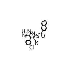 N#Cc1c(N)nc(SCC(=O)c2ccc3ccccc3c2)c(C#N)c1-c1cccc(Cl)c1